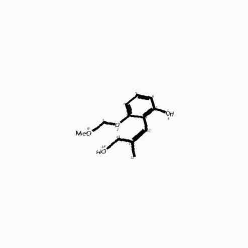 COCOc1cccc(O)c1C=C(C)CO